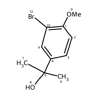 COc1ccc(C(C)(C)O)cc1Br